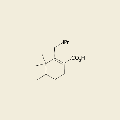 CC(C)CC1=C(C(=O)O)CCC(C)C1(C)C